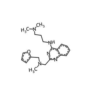 CN(C)CCCNc1nc(CN(C)Cc2ccco2)nc2ccccc12